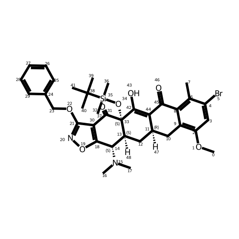 COc1cc(Br)c(C)c2c1C[C@H]1C[C@H]3[C@H](N(C)C)c4onc(OCc5ccccc5)c4C(=O)[C@@]3(O[Si](C)(C)C(C)(C)C)C(O)=C1C2=O